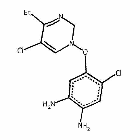 CCC1=NCN(Oc2cc(N)c(N)cc2Cl)C=C1Cl